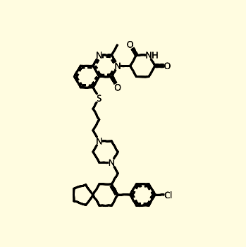 Cc1nc2cccc(SCCCN3CCN(CC4=C(c5ccc(Cl)cc5)CCC5(CCCC5)C4)CC3)c2c(=O)n1C1CCC(=O)NC1=O